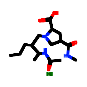 CCC[C@@H](CN1CC(C(=O)NC)CC1C(=O)O)C(C)NC(C)=O.Cl